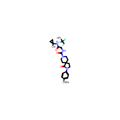 CCCC(F)(F)C[C@H](NC(=O)N1CCC2(CC1)CCN(c1ccc(OC)cc1)C2=O)C(=O)NC1(C#N)CC1